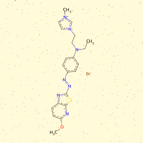 CCN(CCn1cc[n+](C)c1)c1ccc(/N=N/c2nc3ccc(OC)nc3s2)cc1.[Br-]